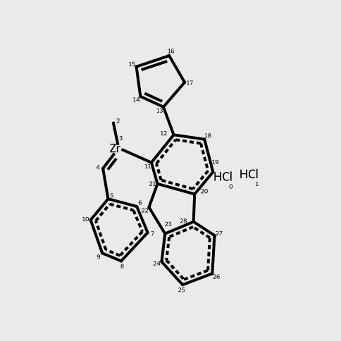 Cl.Cl.[CH3]/[Zr](=[CH]/c1ccccc1)[c]1c(C2=CC=CC2)ccc2c1Cc1ccccc1-2